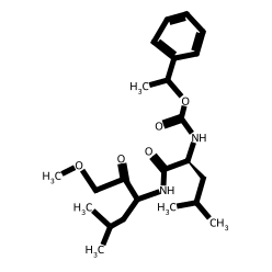 COCC(=O)C(CC(C)C)NC(=O)[C@H](CC(C)C)NC(=O)OC(C)c1ccccc1